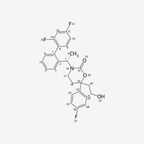 C[C@@H](c1ccccc1-c1ccc(F)cc1F)N1CCC(CCO)(c2ccc(F)cc2)OC1=O